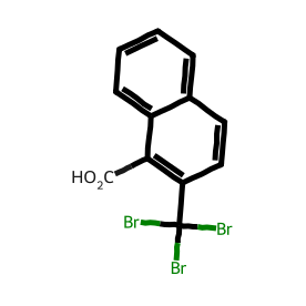 O=C(O)c1c(C(Br)(Br)Br)ccc2ccccc12